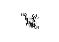 C=CC(=O)Nc1cccc(-c2nc(Nc3ccc(N4CCN(CCO)CC4)cc3F)nc3[nH]c(C#N)nc(=O)c23)c1